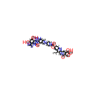 CCc1c2c(nc3ccc(OC(=O)N4CCC(N5Cc6ccc(N(C(=N)c7cc(C(C)C)c(O)cc7O)C(N)=O)cc6C5)CC4)cc13)-c1cc3c(c(=O)n1C2)COC(=O)C3O